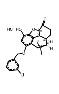 CN1CC[C@]23c4c5c(OCc6cccc(Cl)c6)cc(O)c4O[C@H]2C(=O)CC[C@H]3[C@H]1C5.Cl